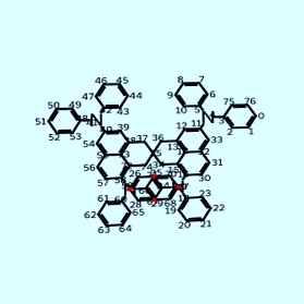 c1ccc(N(c2ccccc2)c2cc3c4c(c(N(c5ccccc5)c5ccccc5)ccc4c2)CC2(C3)Cc3cc(N(c4ccccc4)c4ccccc4)cc4ccc(N(c5ccccc5)c5ccccc5)c(c34)C2)cc1